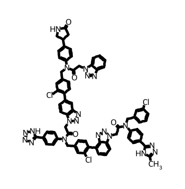 Cc1nnc(-c2ccc(N(Cc3cccc(Cl)c3)C(=O)Cn3nnc4c(-c5ccc(CN(C(=O)Cn6nnc7cc(-c8ccc(CN(C(=O)Cn9nnc%10ccccc%109)c9ccc(C%10CNC(=O)C%10)cc9)cc8Cl)ccc76)c6ccc(-c7nnn[nH]7)cc6)cc5Cl)cccc43)cc2)[nH]1